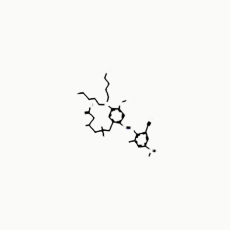 COc1cc(/N=N/c2c(Br)cc([N+](=O)[O-])cc2C#N)c(CC(C)(C)CC(C)CC(N)=O)cc1N(CCCCO)CCCCO